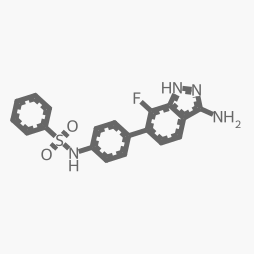 Nc1n[nH]c2c(F)c(-c3ccc(NS(=O)(=O)c4ccccc4)cc3)ccc12